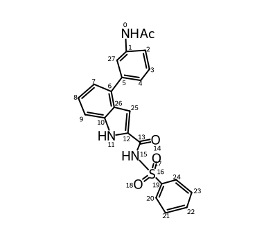 CC(=O)Nc1cccc(-c2cccc3[nH]c(C(=O)NS(=O)(=O)c4ccccc4)cc23)c1